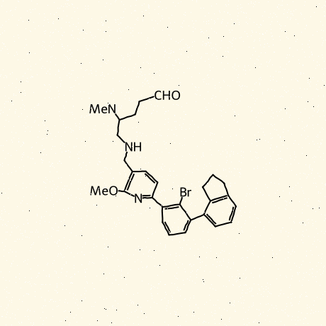 CNC(CCC=O)CNCc1ccc(-c2cccc(-c3cccc4c3CCC4)c2Br)nc1OC